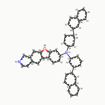 c1cc(-c2ccc3ccccc3c2)cc(N(c2ccc(-c3ccc4ccccc4c3)cc2)c2ccc3c(c2)oc2cc4cnccc4cc23)c1